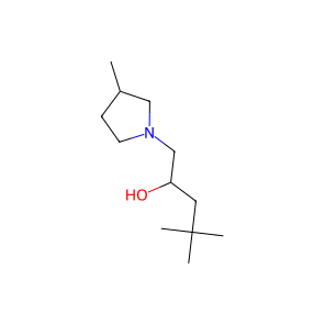 CC1CCN(CC(O)CC(C)(C)C)C1